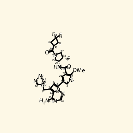 COc1ncc(-c2cc(Cn3cnnn3)c3c(N)ncnn23)cc1C(=O)N[C@@H]1CN(C(=O)C2CC(F)(F)C2)C[C@@H]1F